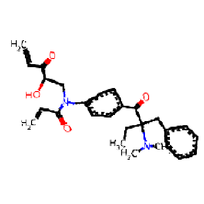 C=CC(=O)C(O)CN(C(=O)C=C)c1ccc(C(=O)C(CC)(Cc2ccccc2)N(C)C)cc1